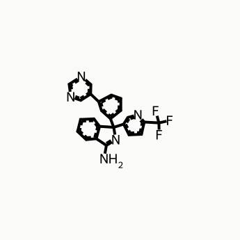 NC1=NC(c2ccc(C(F)(F)F)nc2)(c2cccc(-c3cncnc3)c2)c2ccccc21